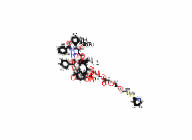 CC(=O)O[C@@]12COC1C[C@H](O)[C@@]1(C)C(=O)[C@H](OC(=O)OCOC(=O)COCCOCCSSc3ccccn3)C3=C(C)C(OC(=O)[C@H](O[Si](C)(C)C(C)(C)C)C(NC(=O)c4ccccc4)c4ccccc4)C[C@@](O)([C@@H](OC(=O)c4ccccc4)[C@@H]12)C3(C)C